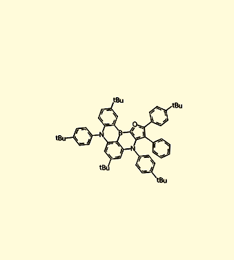 CC(C)(C)c1ccc(-c2oc3c(c2-c2ccccc2)N(c2ccc(C(C)(C)C)cc2)c2cc(C(C)(C)C)cc4c2B3c2cc(C(C)(C)C)ccc2N4c2ccc(C(C)(C)C)cc2)cc1